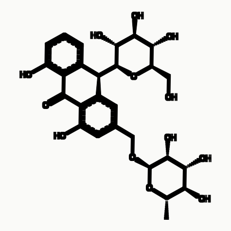 C[C@@H]1O[C@@H](OCc2cc(O)c3c(c2)[C@H]([C@@H]2O[C@H](CO)[C@@H](O)[C@H](O)[C@H]2O)c2cccc(O)c2C3=O)[C@H](O)[C@H](O)[C@H]1O